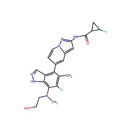 Cc1c(F)c(N(C)CCO)c2[nH]ncc2c1-c1ccn2nc(NC(=O)C3CC3F)cc2c1